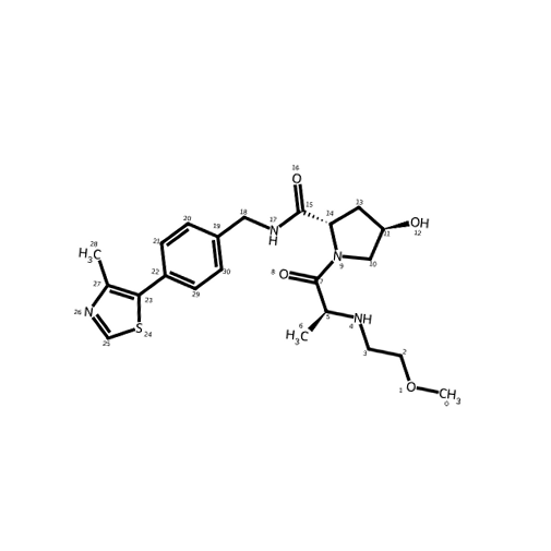 COCCN[C@@H](C)C(=O)N1C[C@H](O)C[C@H]1C(=O)NCc1ccc(-c2scnc2C)cc1